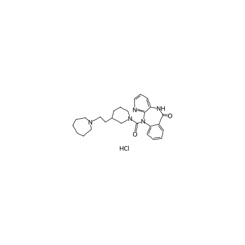 Cl.O=C1Nc2cccnc2N(C(=O)N2CCCC(CCN3CCCCCC3)C2)c2ccccc21